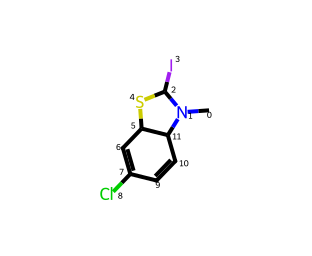 CN1C(I)SC2C=C(Cl)C=CC21